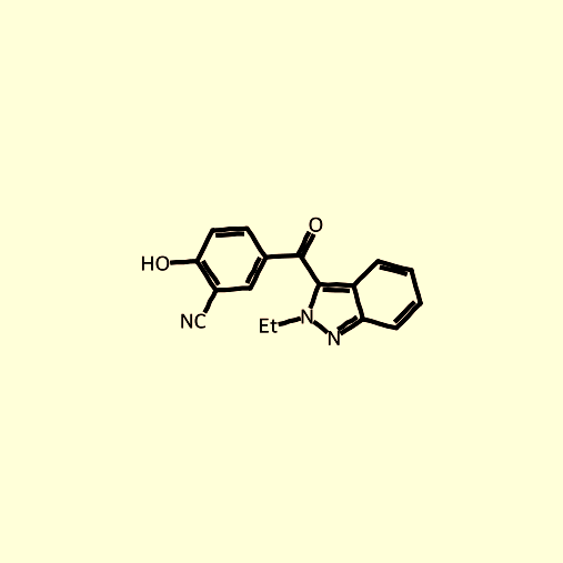 CCn1nc2ccccc2c1C(=O)c1ccc(O)c(C#N)c1